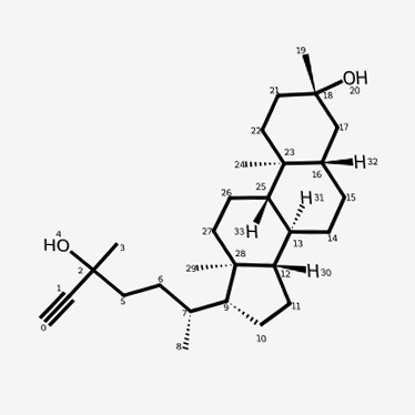 C#CC(C)(O)CC[C@@H](C)[C@H]1CC[C@H]2[C@@H]3CC[C@H]4C[C@@](C)(O)CC[C@]4(C)[C@H]3CC[C@]12C